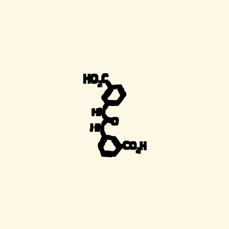 O=C(Nc1cccc(C(=O)O)c1)Nc1cccc(C(=O)O)c1